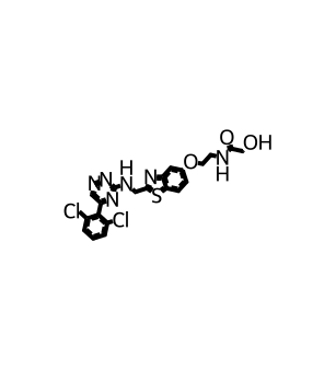 O=C(CO)NCCOc1ccc2sc(CNc3nncc(-c4c(Cl)cccc4Cl)n3)nc2c1